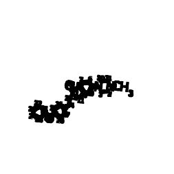 CN1CCN(c2ccc3c(c2)CN(CCc2ccc(Oc4ccccc4)cc2)C3=O)CC1